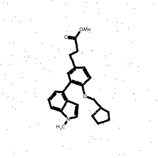 COC(=O)CCc1ccc(OCC2CCCC2)c(-c2cccc3c2ccn3C)c1